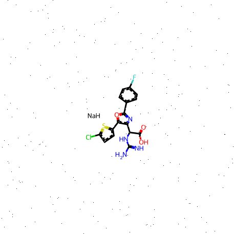 N=C(N)NC(C(=O)O)c1nc(-c2ccc(F)cc2)oc1-c1ccc(Cl)s1.[NaH]